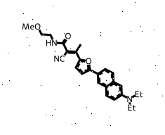 CCN(CC)c1ccc2cc(-c3ccc(/C(C)=C(\C#N)C(=O)NCCOC)o3)ccc2c1